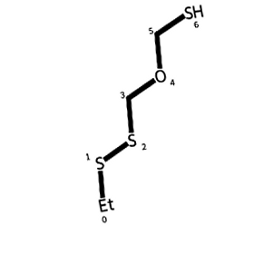 CCSSCOCS